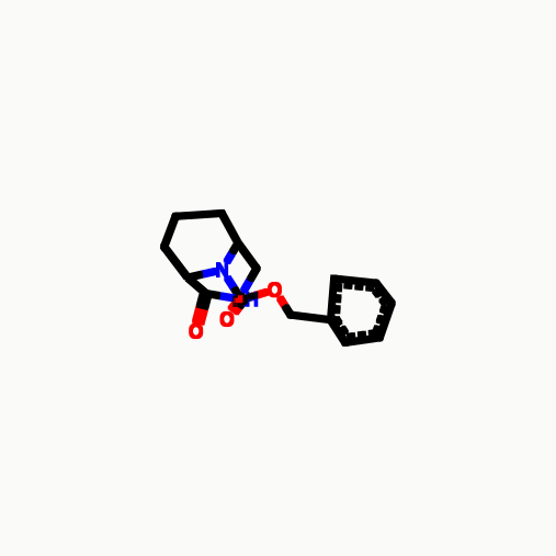 O=C1NCC2CCCC1N2C(=O)OCc1ccccc1